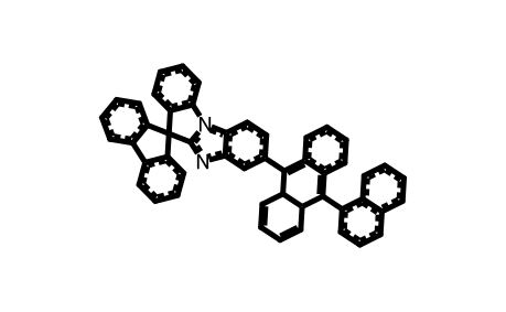 C1=CC2C(c3ccc4c(c3)nc3n4-c4ccccc4C34c3ccccc3-c3ccccc34)=c3ccccc3=C(c3cccc4ccccc34)C2C=C1